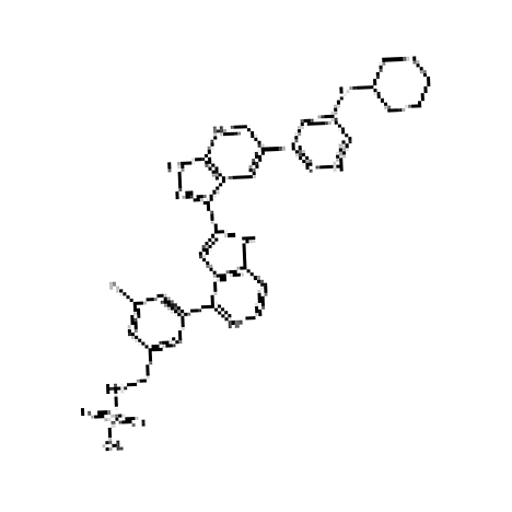 CS(=O)(=O)NCc1cc(F)cc(-c2nccc3[nH]c(-c4n[nH]c5ncc(-c6cncc(OC7CCCCC7)c6)cc45)cc23)c1